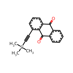 C[Si](C)(C)C#Cc1cccc2c1C(=O)c1ccccc1C2=O